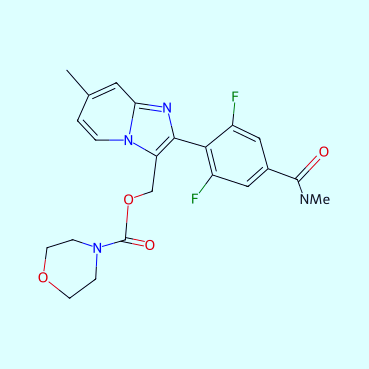 CNC(=O)c1cc(F)c(-c2nc3cc(C)ccn3c2COC(=O)N2CCOCC2)c(F)c1